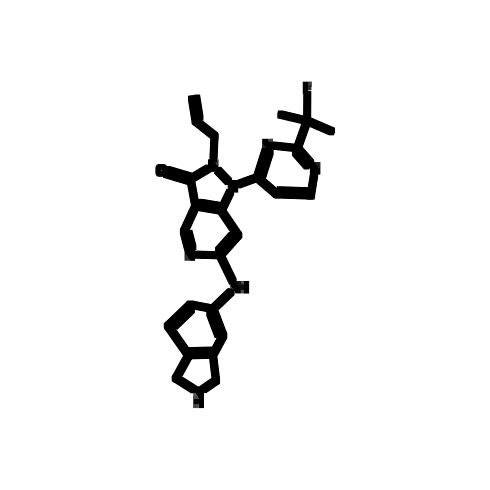 C=CCn1c(=O)c2cnc(Nc3ccc4c(c3)CNC4)cc2n1-c1ccnc(C(C)(C)F)n1